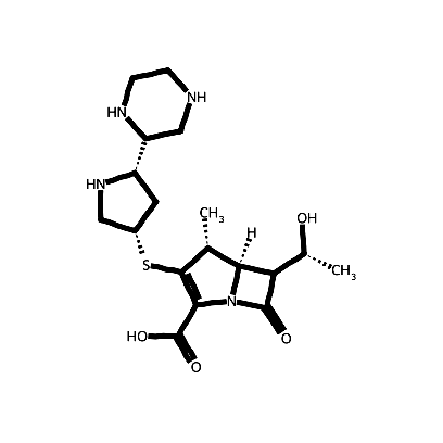 C[C@@H](O)C1C(=O)N2C(C(=O)O)=C(S[C@@H]3CN[C@H](C4CNCCN4)C3)[C@H](C)[C@@H]12